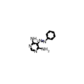 Nc1ncnc(N)c1/N=N/c1ccccc1